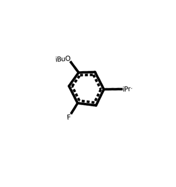 C[C](C)c1cc(F)cc(OCC(C)C)c1